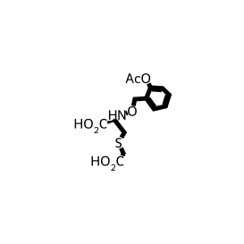 CC(=O)Oc1ccccc1CON[C@@H](CSCC(=O)O)C(=O)O